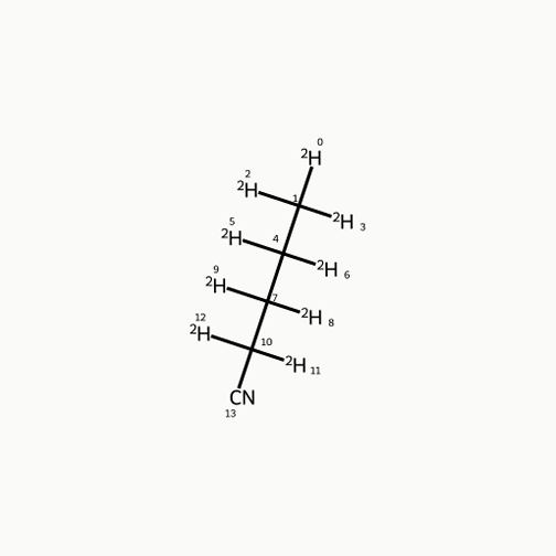 [2H]C([2H])([2H])C([2H])([2H])C([2H])([2H])C([2H])([2H])C#N